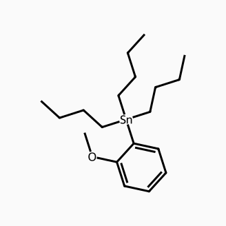 CCC[CH2][Sn]([CH2]CCC)([CH2]CCC)[c]1ccccc1OC